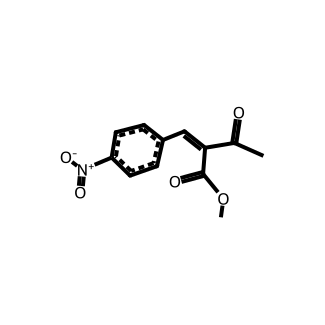 COC(=O)C(=Cc1ccc([N+](=O)[O-])cc1)C(C)=O